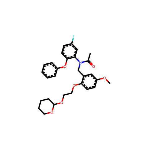 COc1ccc(OCCOC2CCCCO2)c(CN(C(C)=O)c2cc(F)ccc2Oc2ccccc2)c1